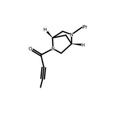 CC#CC(=O)N1C[C@@H]2C[C@H]1CN2C(C)C